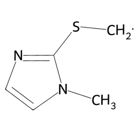 [CH2]Sc1nccn1C